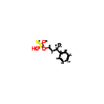 CCC(CCOS(=O)(O)=S)c1ccccc1